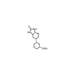 COc1cccc(-c2cnc3[nH]c(=O)[nH]c3c2)c1